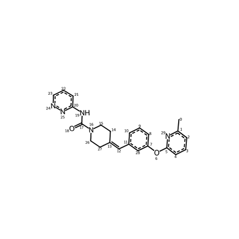 Cc1cccc(Oc2cccc(C=C3CCN(C(=O)Nc4cccnn4)CC3)c2)n1